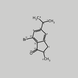 CC1Cc2cc(C(C)C)cc(Br)c2C1=O